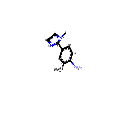 COc1cc(-c2nccn2C)ccc1N